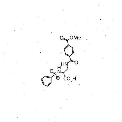 COC(=O)c1ccc(C(=O)NCC(NS(=O)(=O)c2ccccc2)C(=O)O)cc1